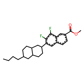 CCCCC1CCC2CC(c3cc4ccc(C(=O)OC)cc4c(F)c3F)CCC2C1